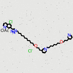 CC(=O)Oc1c(-c2cn(CCCCCCCCCCCCOCCCc3ccc[n+](CCCCCCCCOCCCc4cccnc4)c3)nn2)cc(Cl)c2cccnc12.[Cl-]